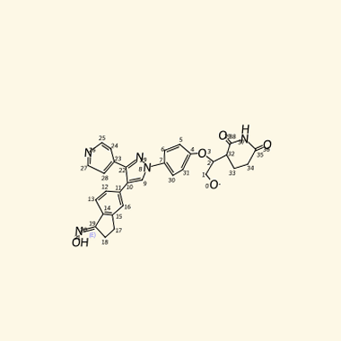 [O]CC(Oc1ccc(-n2cc(-c3ccc4c(c3)CC/C4=N\O)c(-c3ccncc3)n2)cc1)C1CCC(=O)NC1=O